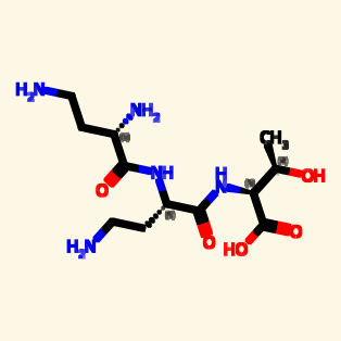 C[C@@H](O)[C@H](NC(=O)[C@H](CCN)NC(=O)[C@@H](N)CCN)C(=O)O